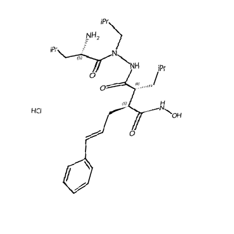 CC(C)C[C@H](N)C(=O)N(CC(C)C)NC(=O)[C@H](CC(C)C)[C@H](CC=Cc1ccccc1)C(=O)NO.Cl